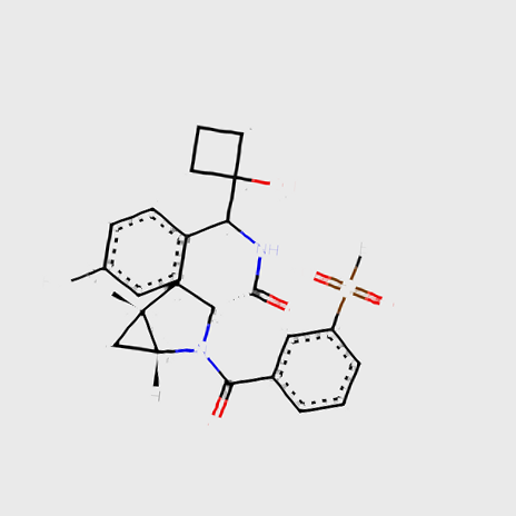 CCS(=O)(=O)c1cccc(C(=O)N2[C@@H](C(=O)NC(c3ccc(C(F)(F)F)cc3)C3(O)CCC3)C[C@H]3C[C@H]32)c1